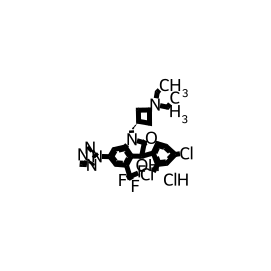 CCN(CC)[C@H]1C[C@H](CN2C(=O)C(O)(c3ccc(Cl)cc3Cl)c3c2cc(-n2ncnn2)cc3C(F)(F)F)C1.Cl